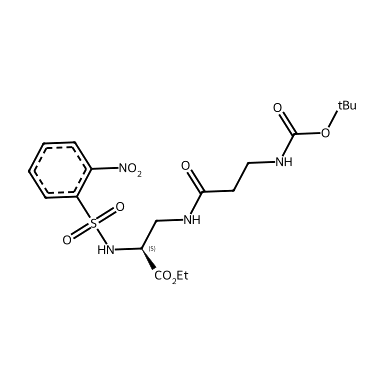 CCOC(=O)[C@H](CNC(=O)CCNC(=O)OC(C)(C)C)NS(=O)(=O)c1ccccc1[N+](=O)[O-]